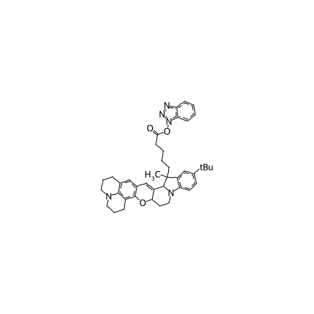 CC(C)(C)c1ccc2c(c1)C(C)(CCCCC(=O)On1nnc3ccccc31)C1C3=Cc4cc5c6c(c4OC3CCN21)CCCN6CCC5